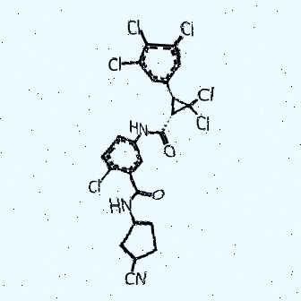 N#CC1CCC(NC(=O)c2cc(NC(=O)[C@@H]3[C@@H](c4cc(Cl)c(Cl)c(Cl)c4)C3(Cl)Cl)ccc2Cl)C1